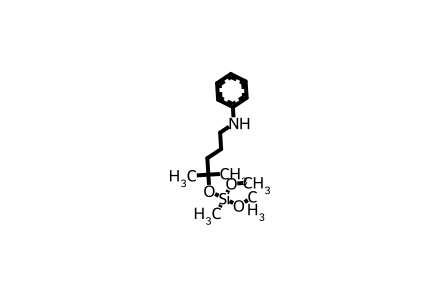 CO[Si](C)(OC)OC(C)(C)CCCNc1ccccc1